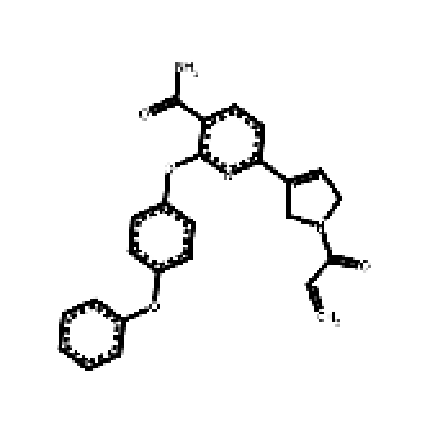 C=CC(=O)N1CC=C(c2ccc(C(N)=O)c(Oc3ccc(Oc4ccccc4)cc3)n2)C1